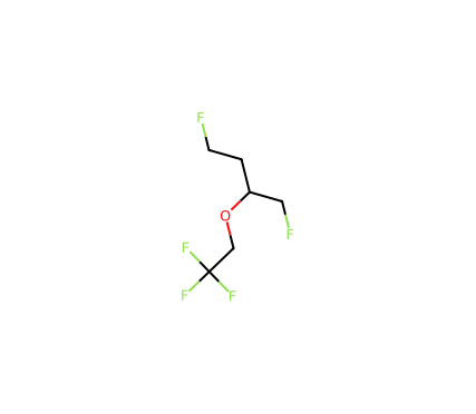 FCCC(CF)OCC(F)(F)F